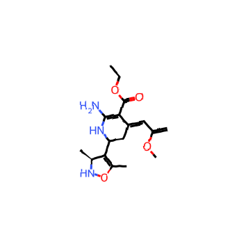 C=C(/C=C1\CC(C2=C(C)ON[C@H]2C)NC(N)=C1C(=O)OCC)OC